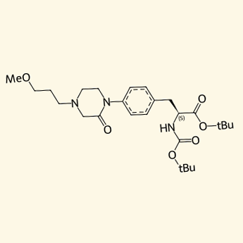 COCCCN1CCN(c2ccc(C[C@H](NC(=O)OC(C)(C)C)C(=O)OC(C)(C)C)cc2)C(=O)C1